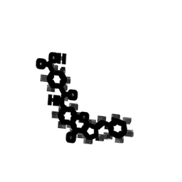 O=C(O)c1ccc(C(=O)Nc2ccc3c(=O)c4c(oc3c2)C(=Cc2ccccc2)CC4)cc1